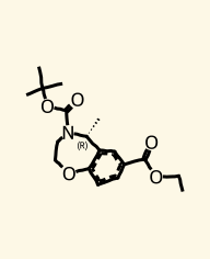 CCOC(=O)c1ccc2c(c1)[C@@H](C)N(C(=O)OC(C)(C)C)CCO2